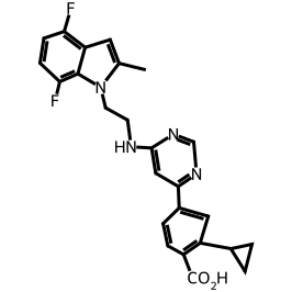 Cc1cc2c(F)ccc(F)c2n1CCNc1cc(-c2ccc(C(=O)O)c(C3CC3)c2)ncn1